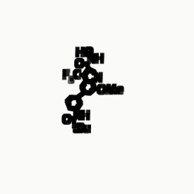 COc1cc(-c2cccc(NC(=O)C(C)(C)C)c2)cc2c(C(F)(F)F)c(C(=O)NO)cnc12